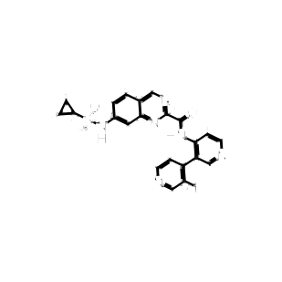 O=C(Nc1ccncc1-c1ccncc1F)c1ncc2ccc(NS(=O)(=O)C3CC3)cc2n1